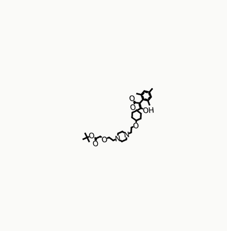 Cc1cc(C)c(C2=C(O)C3(CCC(OCCN4CCN(CCOCC(=O)OC(C)(C)C)CC4)CC3)OC2=O)c(C)c1